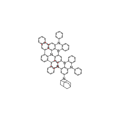 c1ccc(-c2cc3c4c(c2)N(c2c(-c5ccccc5)cccc2-c2ccccc2)c2cc5c(cc2B4c2ccccc2N3c2ccccc2)B2c3ccccc3N(c3ccccc3)c3cc(N4C6CC7CC(C6)CC4C7)cc(c32)N5c2ccccc2)cc1